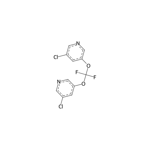 FC(F)(Oc1cncc(Cl)c1)Oc1cncc(Cl)c1